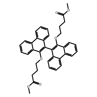 COC(=O)CCCOc1c(-c2c(OCCCC(=O)OC)c3ccccc3c3ccccc23)c2ccccc2c2ccccc12